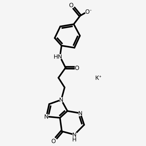 O=C(CCn1cnc2c(=O)[nH]cnc21)Nc1ccc(C(=O)[O-])cc1.[K+]